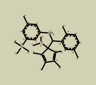 CC1=C(C)[C](C([SiH2]c2cc(C)cc([Si](C)(C)C)c2)c2cc(C)ccc2C)([Ti]([CH3])[CH3])C(C)=C1C